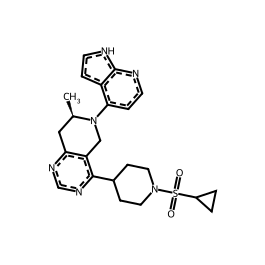 C[C@@H]1Cc2ncnc(C3CCN(S(=O)(=O)C4CC4)CC3)c2CN1c1ccnc2[nH]ccc12